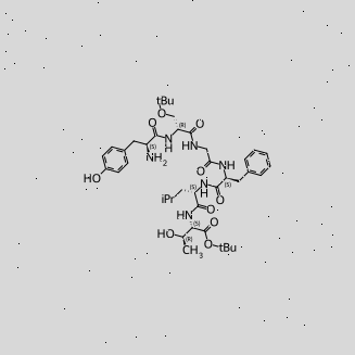 CC(C)C[C@H](NC(=O)[C@H](Cc1ccccc1)NC(=O)CNC(=O)[C@@H](COC(C)(C)C)NC(=O)[C@@H](N)Cc1ccc(O)cc1)C(=O)N[C@H](C(=O)OC(C)(C)C)[C@@H](C)O